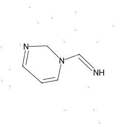 N=CN1C=CC=NC1